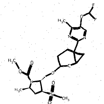 COC(=O)N1[C@H](C)C[C@H](S(C)(=O)=O)[C@H]1COC1CCC2(c3ncc(OC(F)F)c(C)n3)CC2C1